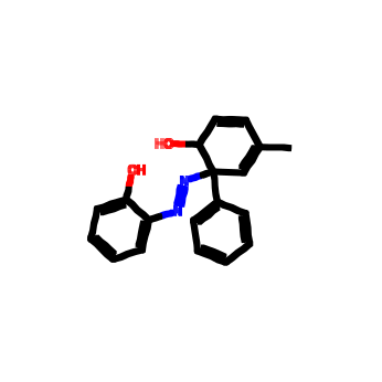 CC1=CC(N=Nc2ccccc2O)(c2ccccc2)C(O)C=C1